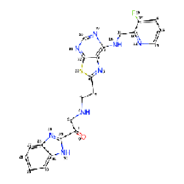 O=C(CNCCc1nc2c(NCc3ncccc3F)ncnc2s1)c1nc2ccccc2[nH]1